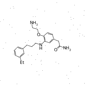 CCc1cccc(CCCNc2cc(CC(N)=O)ccc2OCCN)c1